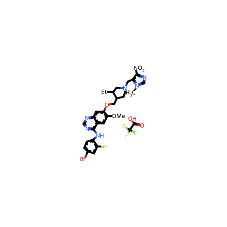 CCC1CN(Cc2c([N+](=O)[O-])ncn2C)CCC1COc1cc2ncnc(Nc3ccc(Br)cc3F)c2cc1OC.O=C(O)C(F)(F)F